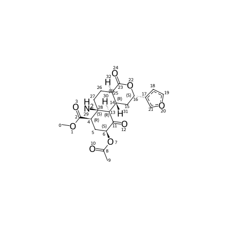 COC(=O)[C@@H]1C[C@H](OC(C)=O)C(=O)[C@@H]2[C@H]3C[C@@H](c4ccoc4)OC(=O)[C@@H]3CC[C@]21N